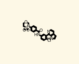 O=C(Nc1ccc(Cl)c(-c2nccc3cc[nH]c23)c1)c1ccc(N2COCCS2(=O)=O)cc1